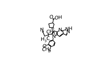 COc1cc(-n2c(C(C)(C)CC#N)c([C@@H]3CCC(C(=O)O)C3)c3nc4[nH]ncc4cc32)ccc1F